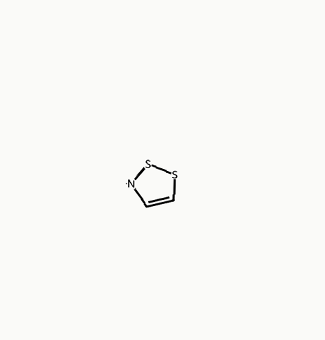 C1=CSS[N]1